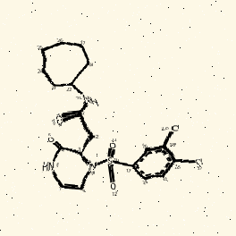 O=C(C[C@@H]1C(=O)NC=CN1S(=O)(=O)c1ccc(Cl)c(Cl)c1)NC1CCCCCC1